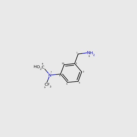 NCc1cccc(N(C(=O)O)C(F)(F)F)c1